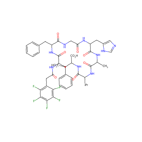 CC(NC(=O)C(Cc1cnc[nH]1)NC(=O)CNC(=O)C(Cc1ccccc1)NC(=O)C(Cc1ccccc1)NC(=O)Cc1c(F)c(F)c(F)c(F)c1F)C(=O)NC(C(=O)NC(CC(=O)O)C(=O)O)C(C)C